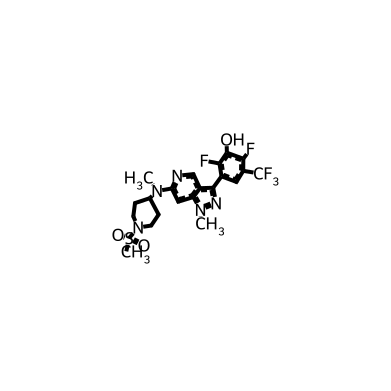 CN(c1cc2c(cn1)c(-c1cc(C(F)(F)F)c(F)c(O)c1F)nn2C)C1CCN(S(C)(=O)=O)CC1